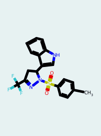 Cc1ccc(S(=O)(=O)N2N=C(C(F)(F)F)CC2c2c[nH]c3ccccc23)cc1